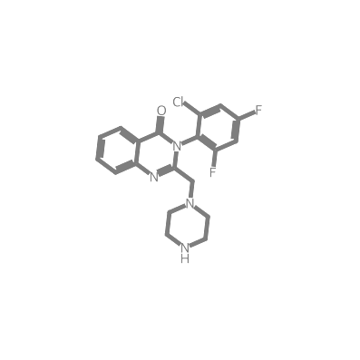 O=c1c2ccccc2nc(CN2CCNCC2)n1-c1c(F)cc(F)cc1Cl